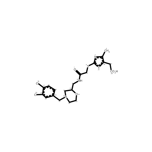 Cc1nc(SCC(=O)NCC2CN(Cc3ccc(Cl)c(Cl)c3)CCO2)sc1CC(=O)O